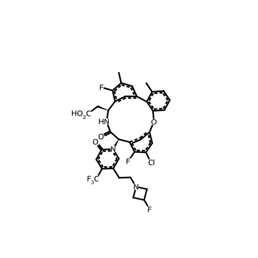 Cc1cc2cc(c1F)[C@H](CC(=O)O)NC(=O)[C@H](n1cc(CCN3CC(F)C3)c(C(F)(F)F)cc1=O)c1cc(cc(Cl)c1F)Oc1cccc(C)c1-2